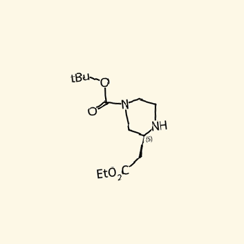 CCOC(=O)C[C@H]1CN(C(=O)OC(C)(C)C)CCN1